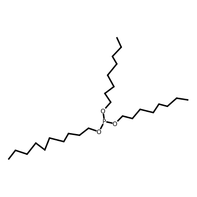 CCCCCCCCCCOP(OCCCCCCCC)OCCCCCCCC